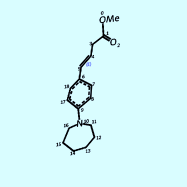 COC(=O)C/C=C/c1ccc(N2CCCCCC2)cc1